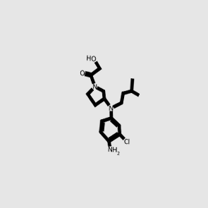 CC(C)CCN(c1ccc(N)c(Cl)c1)C1CCN(C(=O)CO)C1